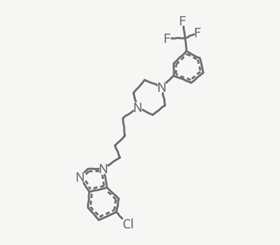 FC(F)(F)c1cccc(N2CCN(CCCCn3cnc4ccc(Cl)cc43)CC2)c1